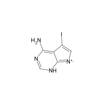 NC1=C2C(I)=C[N+]=C2NC=N1